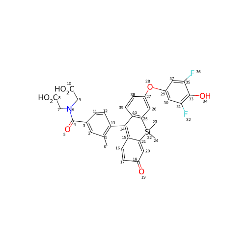 Cc1cc(C(=O)N(CC(=O)O)CC(=O)O)ccc1C1=C2C=CC(=O)C=C2[Si](C)(C)c2cc(Oc3cc(F)c(O)c(F)c3)ccc21